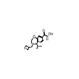 CC(C)C1c2ccc(C(=O)NO)cc2OCCN1CC1COC1